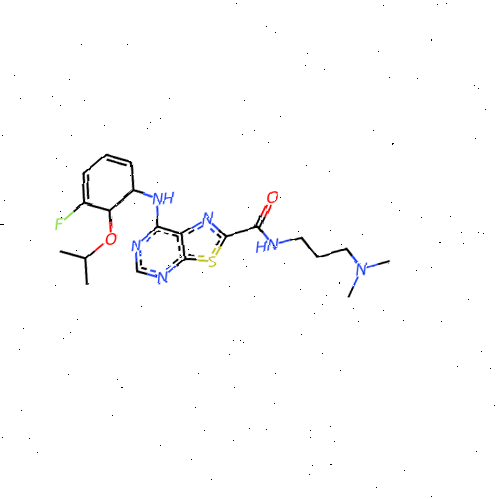 CC(C)OC1C(F)=CC=CC1Nc1ncnc2sc(C(=O)NCCCN(C)C)nc12